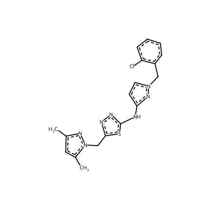 Cc1cc(C)n(Cc2nnc(Nc3ccn(Cc4ccccc4Cl)n3)s2)n1